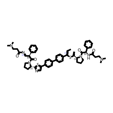 C=C(S/C(=C\C)c1ccc(-c2ccc(-c3cnc([C@@H]4CCCN4C(=O)[C@@H](/C=N/C(=O)CCN(C)C)c4ccccc4)s3)cc2)cc1)[C@@H]1CCCN1C(=O)[C@H](NC(=O)CCN(C)C)c1ccccc1